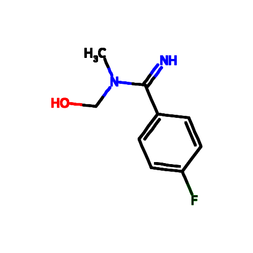 CN(CO)C(=N)c1ccc(F)cc1